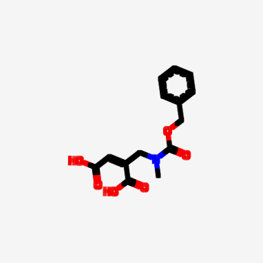 CN(CC(=CC(=O)O)C(=O)O)C(=O)OCc1ccccc1